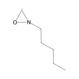 CCCCCN1[CH]O1